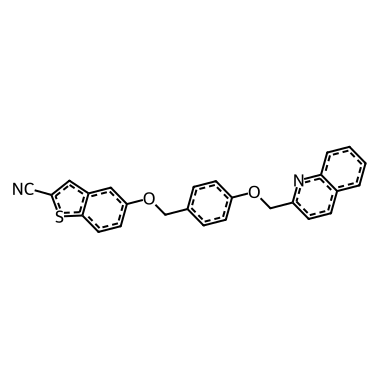 N#Cc1cc2cc(OCc3ccc(OCc4ccc5ccccc5n4)cc3)ccc2s1